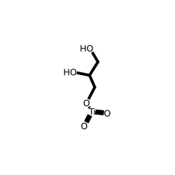 [O]=[Ti](=[O])[O]CC(O)CO